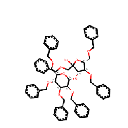 OC1(COCc2ccccc2)O[C@H](COCc2ccccc2)[C@@H](OCc2ccccc2)[C@@H]1O[C@H]1O[C@H](COCc2ccccc2)[C@@H](OCc2ccccc2)[C@H](OCc2ccccc2)[C@H]1OCc1ccccc1